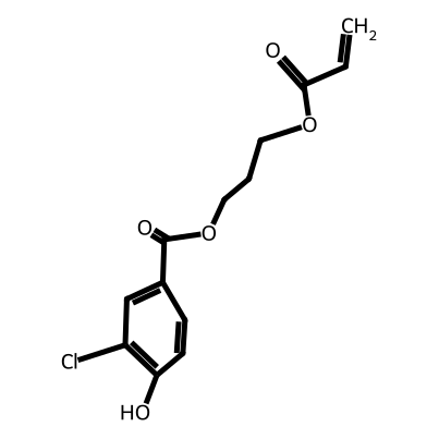 C=CC(=O)OCCCOC(=O)c1ccc(O)c(Cl)c1